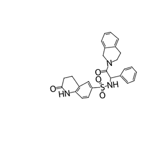 O=C1CCc2cc(S(=O)(=O)NC(C(=O)N3CCc4ccccc4C3)c3ccccc3)ccc2N1